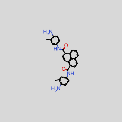 Cc1cc(NC(=O)c2ccc3cccc4c3c2C=CC4C(=O)Nc2ccc(N)c(C)c2)ccc1N